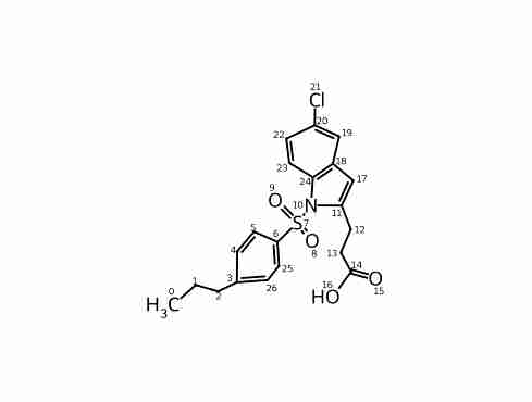 CCCc1ccc(S(=O)(=O)n2c(CCC(=O)O)cc3cc(Cl)ccc32)cc1